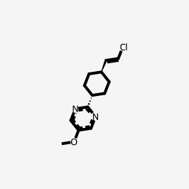 COc1cnc([C@H]2CC[C@H](/C=C/Cl)CC2)nc1